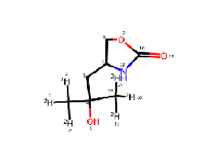 [2H]C([2H])([2H])C(O)(CC1COC(=O)N1)C([2H])([2H])[2H]